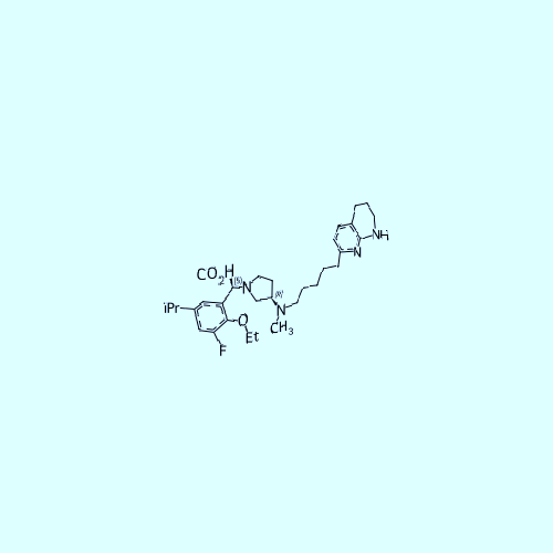 CCOc1c(F)cc(C(C)C)cc1[C@@H](C(=O)O)N1CC[C@@H](N(C)CCCCCc2ccc3c(n2)NCCC3)C1